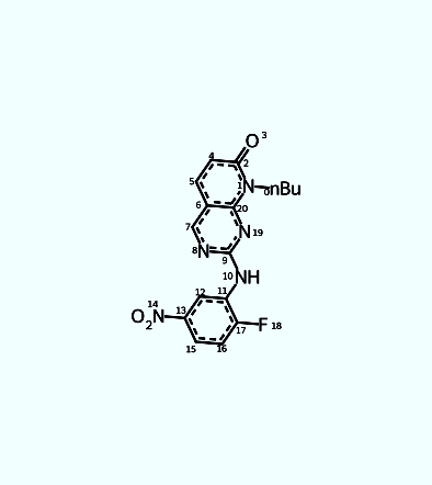 CCCCn1c(=O)ccc2cnc(Nc3cc([N+](=O)[O-])ccc3F)nc21